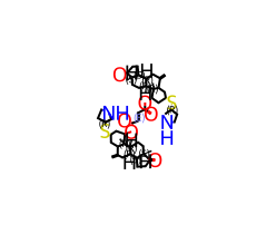 C=C1C[C@@H]2[C@@H](CC[C@]3(C)C(=O)CC[C@@H]23)[C@@]2(C)C(OC(=O)/C=C/C(=O)OC3CC(S[C@@H]4CCNC4)CC4C(=C)C[C@@H]5[C@@H](CC[C@]6(C)C(=O)CC[C@@H]56)[C@@]34C)CC(S[C@@H]3CCNC3)CC12